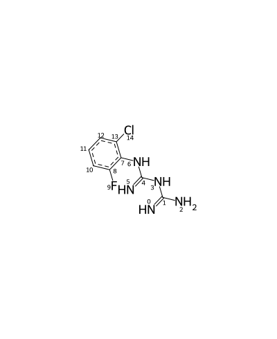 N=C(N)NC(=N)Nc1c(F)cccc1Cl